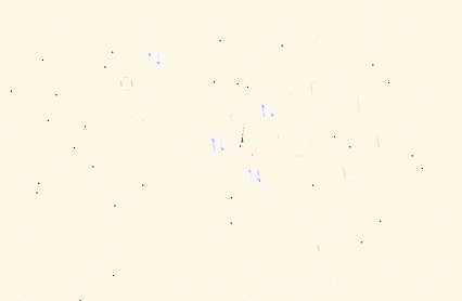 CN(C)C(=O)c1ccc(N(Cc2ccc(C3CCCCC3)cn2)C(=O)[C@H]2CCN2S(=O)(=O)c2c(F)c(F)c(F)c(F)c2F)cc1OCc1ccccc1